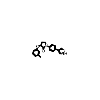 Cc1cccc(OC2CCN(c3ccc(-c4cn[nH]c4)cc3)C2=O)c1